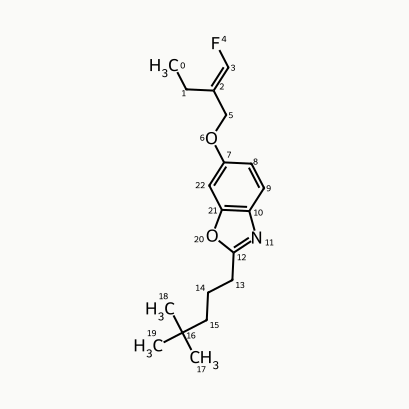 CC/C(=C\F)COc1ccc2nc(CCCC(C)(C)C)oc2c1